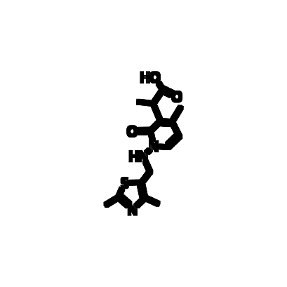 Cc1nc(C)c(CNn2ccc(C)c(C(C)C(=O)O)c2=O)s1